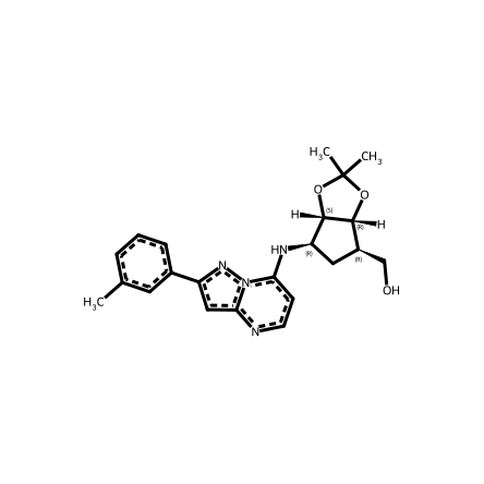 Cc1cccc(-c2cc3nccc(N[C@@H]4C[C@H](CO)[C@H]5OC(C)(C)O[C@H]54)n3n2)c1